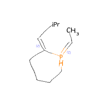 C/C=[PH]1/CCCC/C1=C/C(C)C